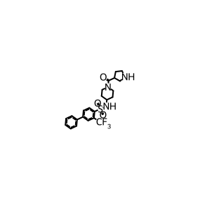 O=C(C1CCNC1)N1CCC(NS(=O)(=O)c2ccc(-c3ccccc3)cc2C(F)(F)F)CC1